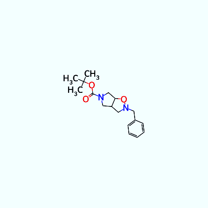 CC(C)(C)OC(=O)N1CC2CN(Cc3ccccc3)OC2C1